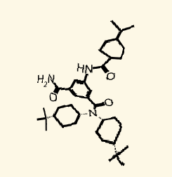 CC(C)C1CCC(C(=O)Nc2cc(C(N)=O)cc(C(=O)N([C@H]3CC[C@@H](C(C)(C)C)CC3)[C@H]3CC[C@@H](C(C)(C)C)CC3)c2)CC1